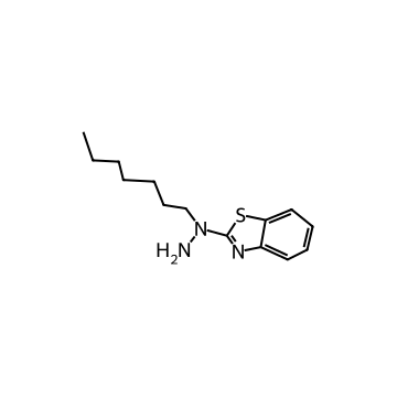 CCCCCCCN(N)c1nc2ccccc2s1